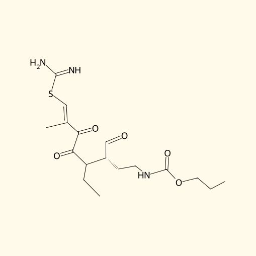 CCCOC(=O)NCC[C@@H](C=O)C(CC)C(=O)C(=O)/C(C)=C/SC(=N)N